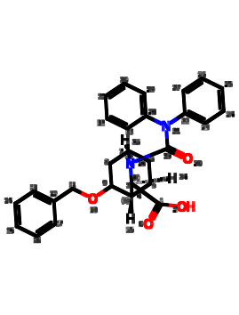 O=C(O)[C@H]1[C@@H]2CC[C@@H](CC2OCc2ccccc2)N1C(=O)N(c1ccccc1)c1ccccc1